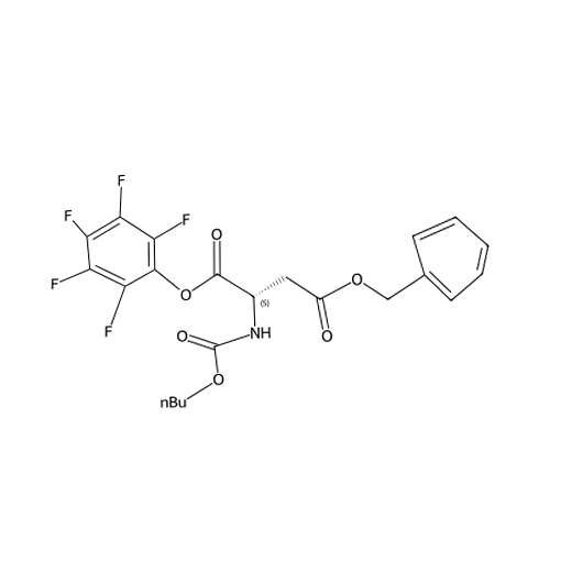 CCCCOC(=O)N[C@@H](CC(=O)OCc1ccccc1)C(=O)Oc1c(F)c(F)c(F)c(F)c1F